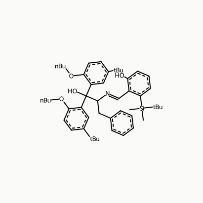 CCCCOc1ccc(C(C)(C)C)cc1C(O)(c1cc(C(C)(C)C)ccc1OCCCC)C(Cc1ccccc1)N=Cc1c(O)cccc1[Si](C)(C)C(C)(C)C